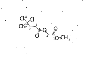 COC(=O)COC(=O)CCC(Cl)(Cl)Cl